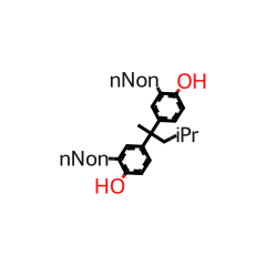 CCCCCCCCCc1cc(C(C)(CC(C)C)c2ccc(O)c(CCCCCCCCC)c2)ccc1O